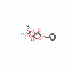 CC1(C)O[C@@H]2CO[C@H](OCc3ccccc3)C(=O)[C@@H]2O1